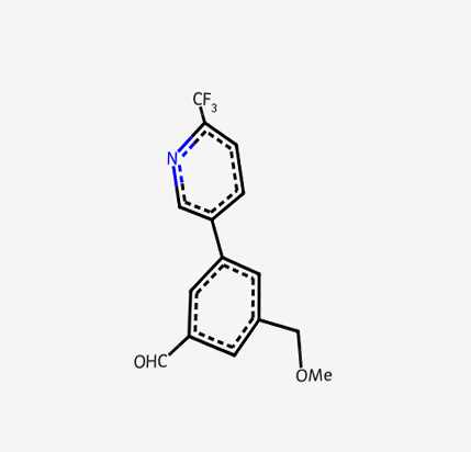 COCc1cc(C=O)cc(-c2ccc(C(F)(F)F)nc2)c1